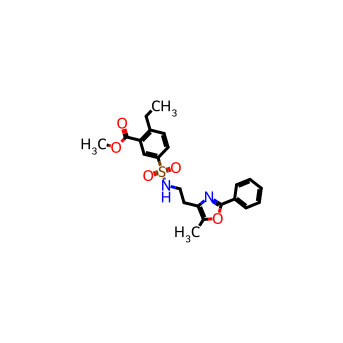 CCc1ccc(S(=O)(=O)NCCc2nc(-c3ccccc3)oc2C)cc1C(=O)OC